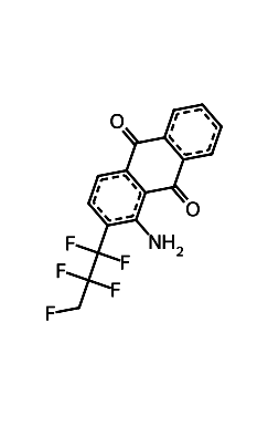 Nc1c(C(F)(F)C(F)(F)CF)ccc2c1C(=O)c1ccccc1C2=O